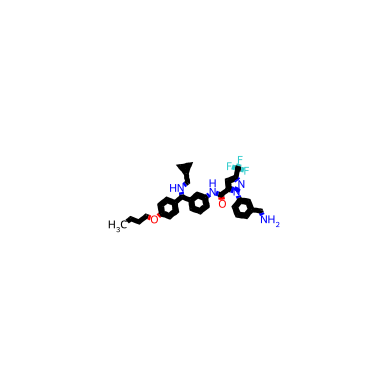 CCCCOc1ccc(C(NCC2CC2)c2cccc(NC(=O)c3cc(C(F)(F)F)nn3-c3cccc(CN)c3)c2)cc1